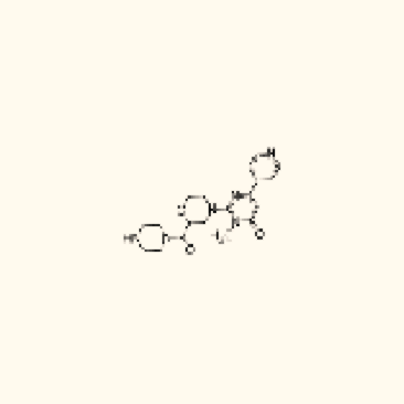 Cn1c(N2CCOC(C(=O)N3CCNCC3)C2)nc(-c2ccncc2)cc1=O